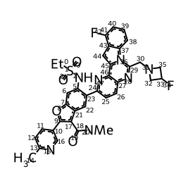 CCS(=O)(=O)Nc1cc2oc(-c3ccc(C)nc3)c(C(=O)NC)c2cc1-c1ccc2nc(CN3CC(F)C3)n3c4cccc(F)c4cc3c2n1